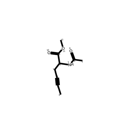 CC#CCC(NC(C)=O)C(=O)OC